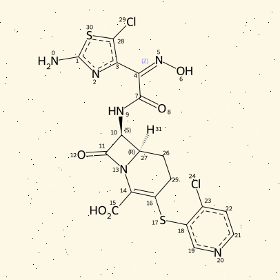 Nc1nc(/C(=N/O)C(=O)N[C@@H]2C(=O)N3C(C(=O)O)=C(Sc4cnccc4Cl)CC[C@H]23)c(Cl)s1